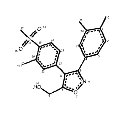 Cc1ccc(-c2noc(CO)c2-c2ccc(S(C)(=O)=O)c(F)c2)cc1C